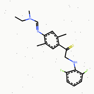 CCN(C)C=Nc1cc(C)c(C(=S)CNc2c(F)cccc2F)cc1C